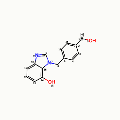 OBc1ccc(Cn2cnc3cccc(O)c32)cc1